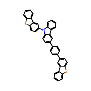 c1ccc2c(c1)sc1ccc(-c3ccc(-c4ccc5c(c4)c4ccccc4n5-c4ccc5sc6ccccc6c5c4)cc3)cc12